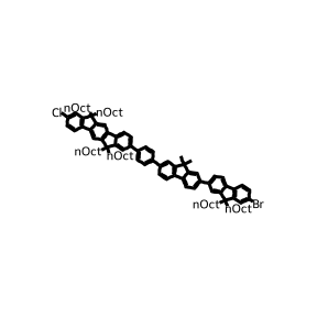 CCCCCCCCC1(CCCCCCCC)c2cc(Br)ccc2-c2ccc(-c3ccc4c(c3)C(C)(C)c3cc(-c5ccc(-c6ccc7c(c6)C(CCCCCCCC)(CCCCCCCC)c6cc8c(cc6-7)C(CCCCCCCC)(CCCCCCCC)c6cc(Cl)ccc6-8)cc5)ccc3-4)cc21